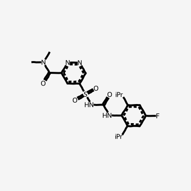 CC(C)c1cc(F)cc(C(C)C)c1NC(=O)NS(=O)(=O)c1cnnc(C(=O)N(C)C)c1